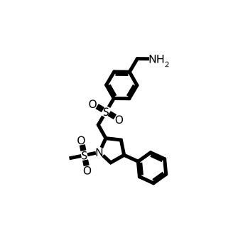 CS(=O)(=O)N1CC(c2ccccc2)CC1CS(=O)(=O)c1ccc(CN)cc1